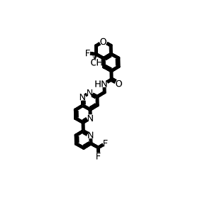 C[C@@]1(F)COCc2ccc(C(=O)NCc3cc4nc(-c5cccc(C(F)F)n5)ccc4nn3)cc21